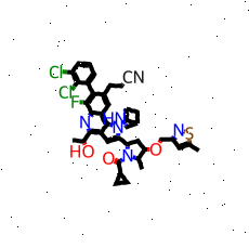 Cc1cc(COC2CC(c3cc4c(C(C)O)nc5c(F)c(-c6cccc(Cl)c6Cl)c(CCC#N)cc5c4n3C3C4CNC3C4)N(C(=O)C3CC3)C2C)ns1